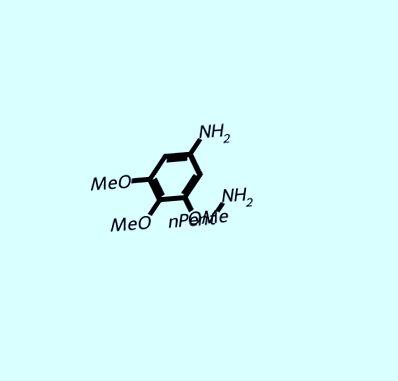 CCCCCN.COc1cc(N)cc(OC)c1OC